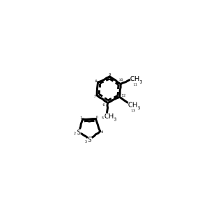 C1=CSSC1.Cc1cccc(C)c1C